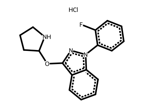 Cl.Fc1ccccc1-n1nc(OC2CCCN2)c2ccccc21